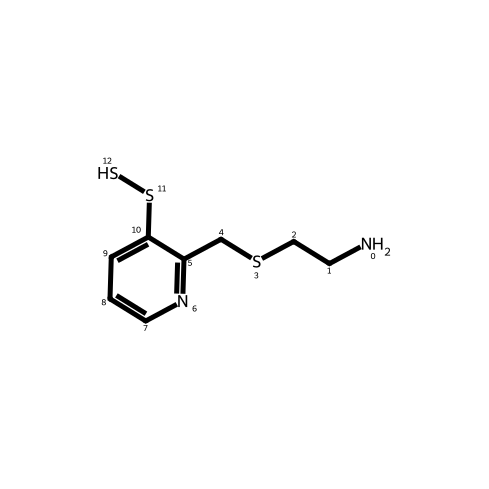 NCCSCc1ncccc1SS